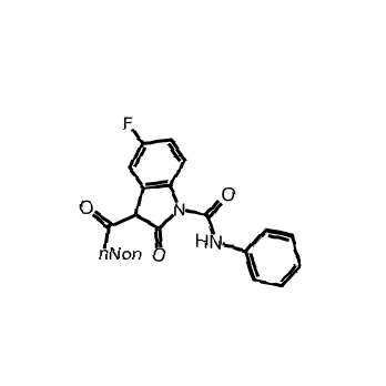 CCCCCCCCCC(=O)C1C(=O)N(C(=O)Nc2ccccc2)c2ccc(F)cc21